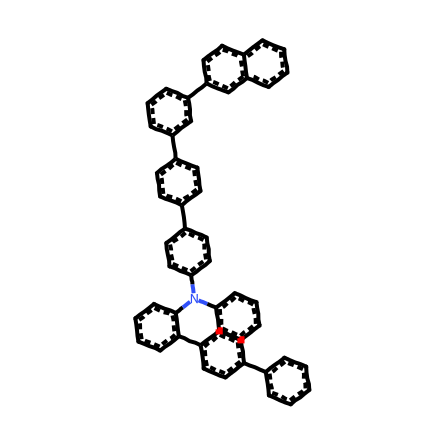 c1ccc(-c2ccc(-c3ccccc3N(c3ccccc3)c3ccc(-c4ccc(-c5cccc(-c6ccc7ccccc7c6)c5)cc4)cc3)cc2)cc1